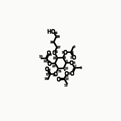 CC(=O)OC1C(OC(C)=O)[C@H](OC(C)=O)C(OC(C)=O)C(OC(C)=O)[C@H]1OCCCO